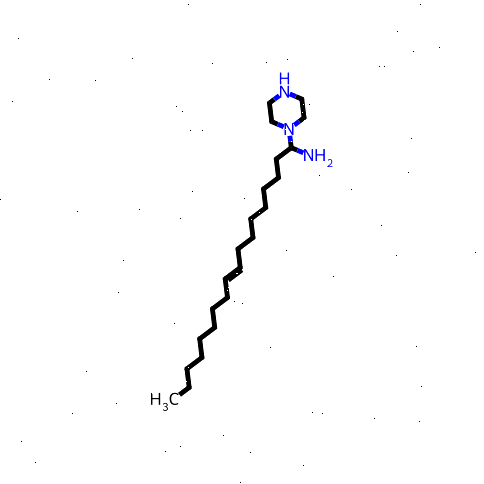 CCCCCCCCC=CCCCCCCCC(N)N1CCNCC1